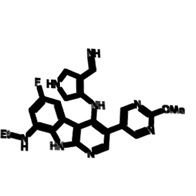 CCNc1cc(F)cc2c1[nH]c1ncc(-c3cnc(OC)nc3)c(NC3=C(C=N)CNC3)c12